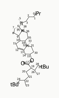 CC(C)CCC[C@@H](C)[C@H]1CCC2C3CC=C4CC(OC(=O)C(CCC(C)CC(C)(C)C)C(C)CC(C)(C)C)CC[C@]4(C)C3CC[C@@]21C